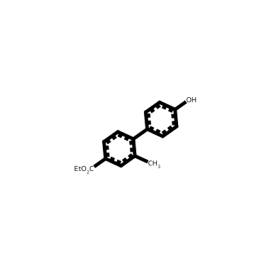 CCOC(=O)c1ccc(-c2ccc(O)cc2)c(C)c1